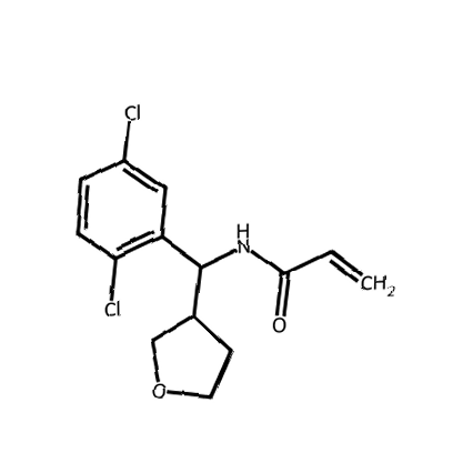 C=CC(=O)NC(c1cc(Cl)ccc1Cl)C1CCOC1